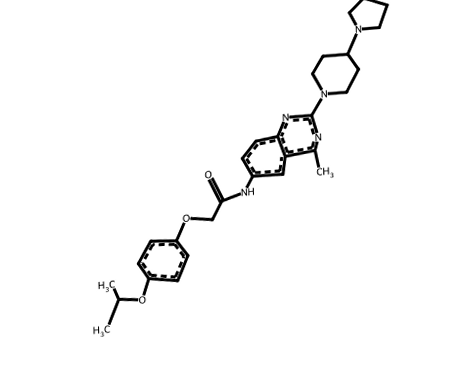 Cc1nc(N2CCC(N3CCCC3)CC2)nc2ccc(NC(=O)COc3ccc(OC(C)C)cc3)cc12